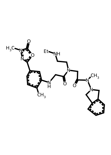 CCNCCN(CC(=O)N(C)N1Cc2ccccc2C1)C(=O)CNc1cc(-c2nn(C)c(=O)o2)ccc1C